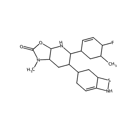 CC1CC(C2NC3OC(=O)N(C)C3CC2C2CC=C3NSC3C2)C=CC1F